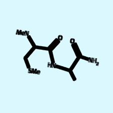 CNC(CSC)C(=O)NC(C)C(N)=O